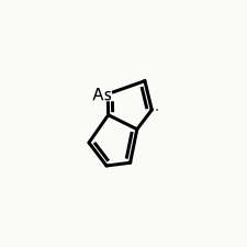 [C]1=C[As]=C2C=CC=C12